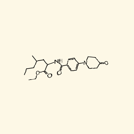 CCCC(C)CC(NC(=O)c1ccc(N2CCC(=O)CC2)cc1)C(=O)OCC